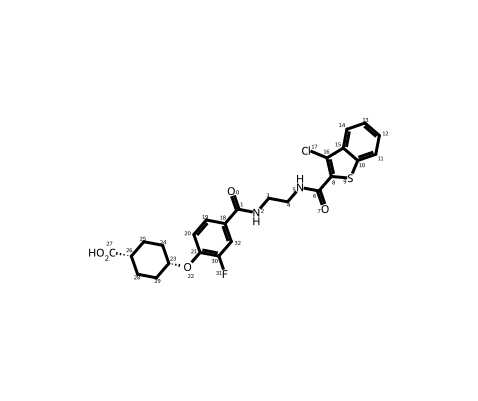 O=C(NCCNC(=O)c1sc2ccccc2c1Cl)c1ccc(O[C@H]2CC[C@@H](C(=O)O)CC2)c(F)c1